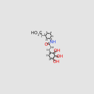 O=C(O)Cc1cccc(NC(=O)CCc2ccc(O)c(O)c2O)c1